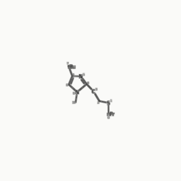 CCCSCCc1nc(C(C)(C)C)cn1C